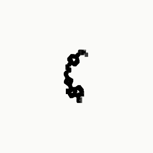 Cc1ccc(SOCC2CC(c3ncc4c(Cl)nccn34)C2)cc1